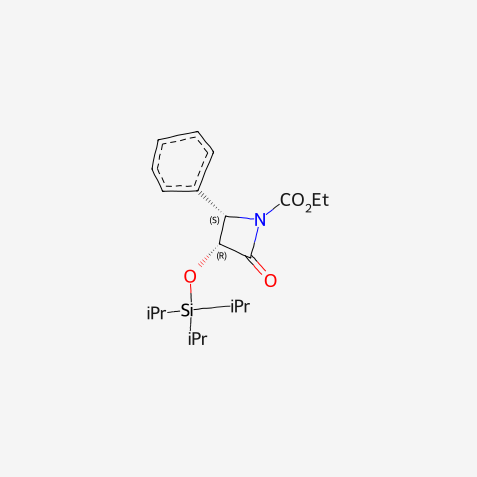 CCOC(=O)N1C(=O)[C@H](O[Si](C(C)C)(C(C)C)C(C)C)[C@@H]1c1ccccc1